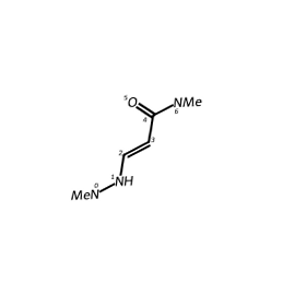 CNN/C=C/C(=O)NC